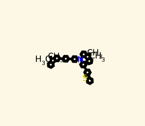 CC1(C)c2ccccc2-c2cc(-c3ccc(-c4ccc(N(c5ccc(-c6ccc7c(c6)sc6ccccc67)cc5)c5cccc6c5-c5ccccc5C6(C)C)cc4)cc3)ccc21